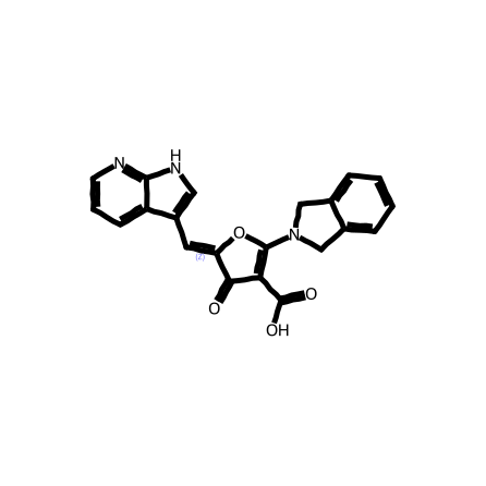 O=C(O)C1=C(N2Cc3ccccc3C2)O/C(=C\c2c[nH]c3ncccc23)C1=O